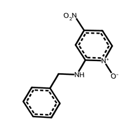 O=[N+]([O-])c1cc[n+]([O-])c(NCc2ccccc2)c1